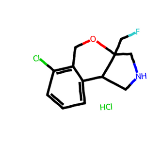 Cl.FCC12CNCC1c1cccc(Cl)c1CO2